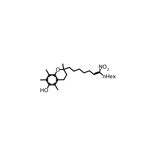 CCCCCC/C(=C/CCCCCC1(C)CCc2c(C)c(O)c(C)c(C)c2O1)[N+](=O)[O-]